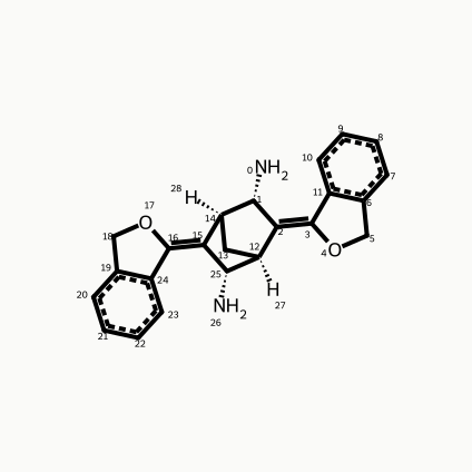 N[C@@H]1C(=C2OCc3ccccc32)[C@@H]2C[C@H]1C(=C1OCc3ccccc31)[C@H]2N